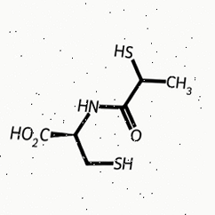 CC(S)C(=O)N[C@@H](CS)C(=O)O